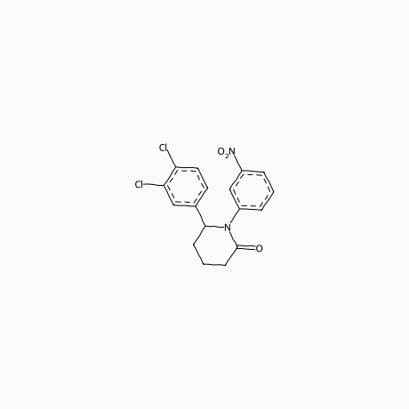 O=C1CCCC(c2ccc(Cl)c(Cl)c2)N1c1cccc([N+](=O)[O-])c1